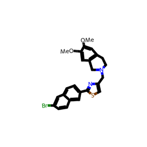 COc1cc2c(cc1OC)CN(Cc1csc(-c3ccc4cc(Br)ccc4c3)n1)CC2